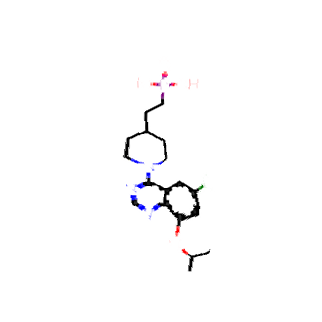 CC(C)Oc1cc(Cl)cc2c(N3CCC(CCP(=O)(O)O)CC3)ncnc12